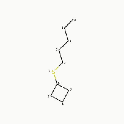 CCCCCSC1CCC1